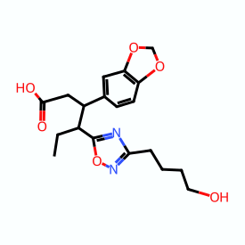 CCC(c1nc(CCCCO)no1)C(CC(=O)O)c1ccc2c(c1)OCO2